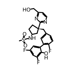 CS(=O)(=O)N[C@H]1CC[C@](Cc2ccc(F)c(-c3cc(F)cc(F)c3O)c2)(c2nccc(CO)n2)C1